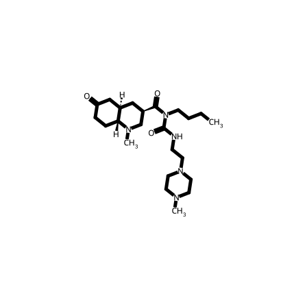 CCCCN(C(=O)NCCN1CCN(C)CC1)C(=O)[C@@H]1C[C@@H]2CC(=O)CC[C@H]2N(C)C1